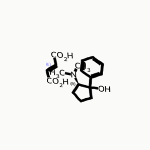 CN(C)[C@@H]1CCCC1(O)c1ccccc1.O=C(O)/C=C/C(=O)O